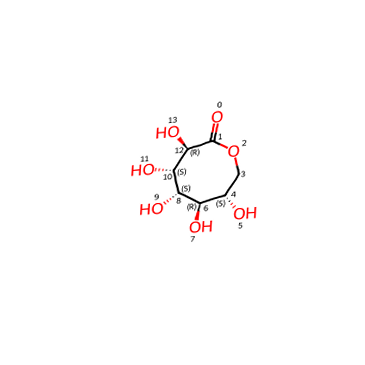 O=C1OC[C@H](O)[C@@H](O)[C@H](O)[C@H](O)[C@H]1O